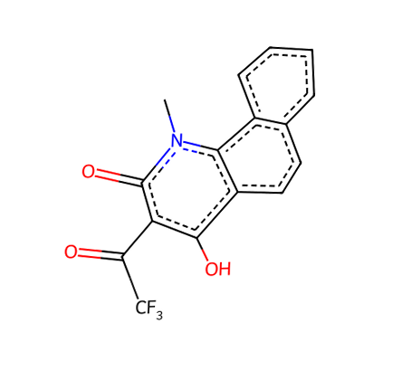 Cn1c(=O)c(C(=O)C(F)(F)F)c(O)c2ccc3ccccc3c21